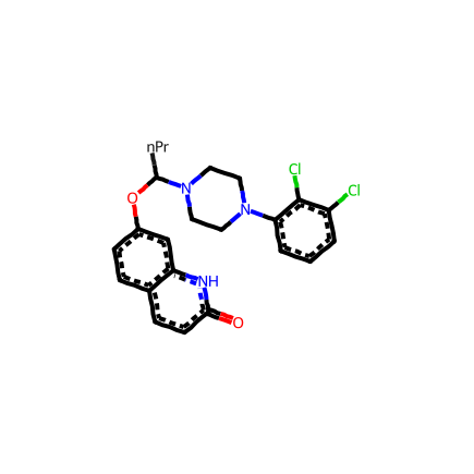 CCCC(Oc1ccc2ccc(=O)[nH]c2c1)N1CCN(c2cccc(Cl)c2Cl)CC1